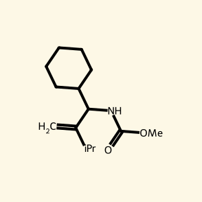 C=C(C(C)C)C(NC(=O)OC)C1CCCCC1